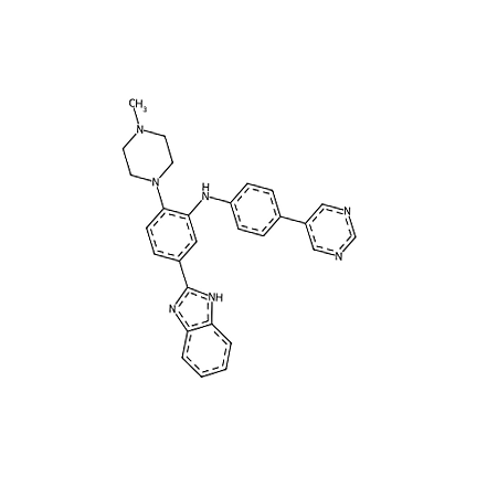 CN1CCN(c2ccc(-c3nc4ccccc4[nH]3)cc2Nc2ccc(-c3cncnc3)cc2)CC1